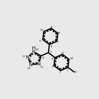 Cc1ccc(C(c2ccccc2)c2nnn[nH]2)cc1